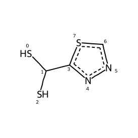 SC(S)c1nncs1